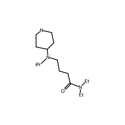 CCN(CC)C(=O)CCCN(C(C)C)C1CC[N]CC1